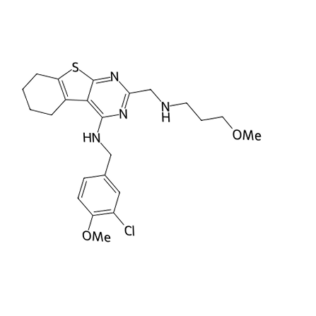 COCCCNCc1nc(NCc2ccc(OC)c(Cl)c2)c2c3c(sc2n1)CCCC3